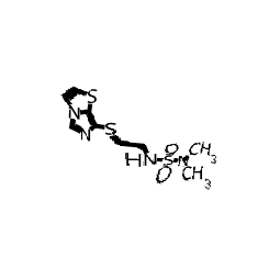 CN(C)S(=O)(=O)NCCSc1ncn2ccsc12